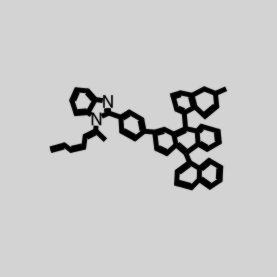 C=C/C=C\C=C(/C)n1c(-c2ccc(-c3ccc4c(-c5cccc6ccccc56)c5ccccc5c(-c5cccc6c5C=CC(C)C6)c4c3)cc2)nc2ccccc21